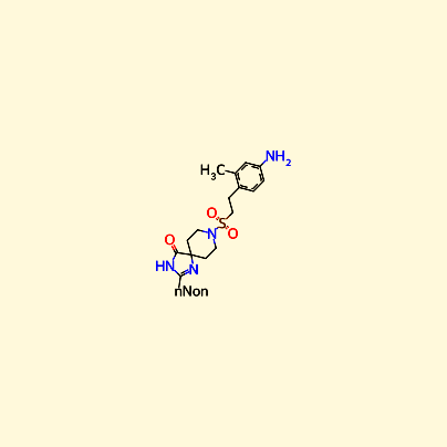 CCCCCCCCCC1=NC2(CCN(S(=O)(=O)CCc3ccc(N)cc3C)CC2)C(=O)N1